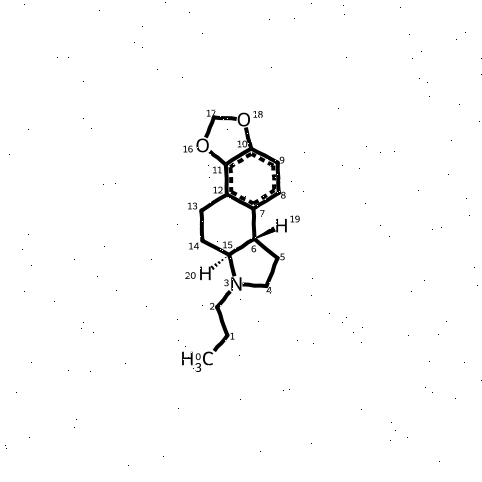 CCCN1CC[C@H]2c3ccc4c(c3CC[C@@H]21)OCO4